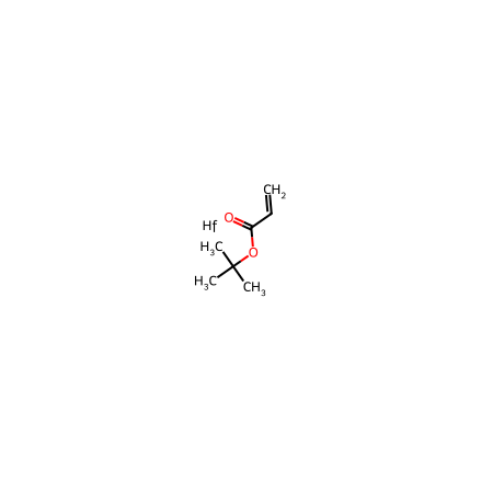 C=CC(=O)OC(C)(C)C.[Hf]